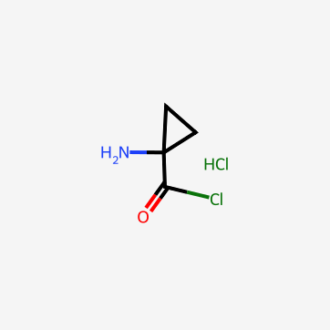 Cl.NC1(C(=O)Cl)CC1